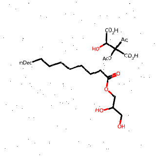 CC(=O)OC(C(C)=O)(C(=O)O)C(O)C(=O)O.CCCCCCCCCCCCCCCCCC(=O)OCC(O)CO